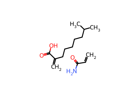 C=C(CCCCCC(C)C)C(=O)O.C=CC(N)=O